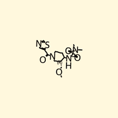 COC[C@@H]1CN(C(=O)c2cncs2)CCC1NS(=O)(=O)N(C)C